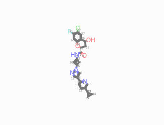 O=C(NC12CC(n3cc(-c4ccc(C5CC5)cn4)cn3)(C1)C2)[C@H]1C[C@@H](O)c2cc(Cl)c(F)cc2O1